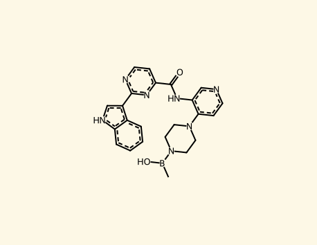 CB(O)N1CCN(c2ccncc2NC(=O)c2ccnc(-c3c[nH]c4ccccc34)n2)CC1